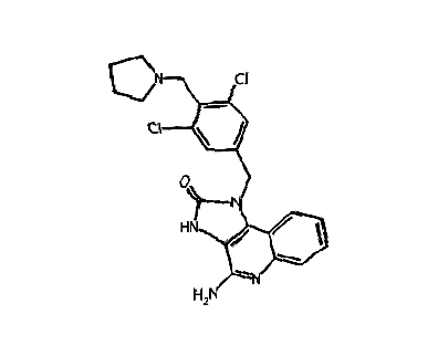 Nc1nc2ccccc2c2c1[nH]c(=O)n2Cc1cc(Cl)c(CN2CCCC2)c(Cl)c1